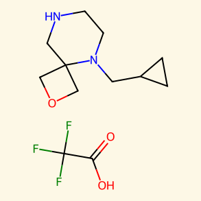 C1CN(CC2CC2)C2(CN1)COC2.O=C(O)C(F)(F)F